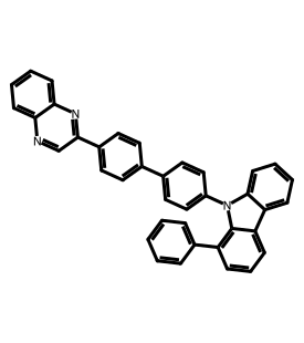 c1ccc(-c2cccc3c4ccccc4n(-c4ccc(-c5ccc(-c6cnc7ccccc7n6)cc5)cc4)c23)cc1